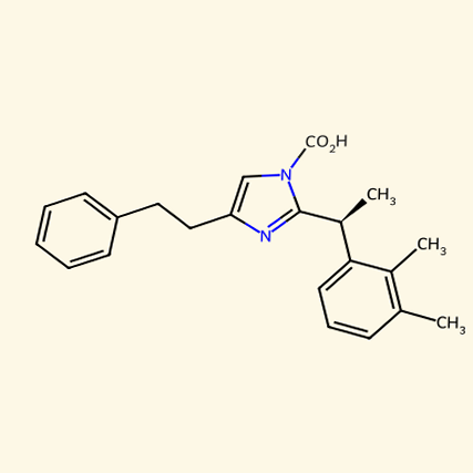 Cc1cccc([C@H](C)c2nc(CCc3ccccc3)cn2C(=O)O)c1C